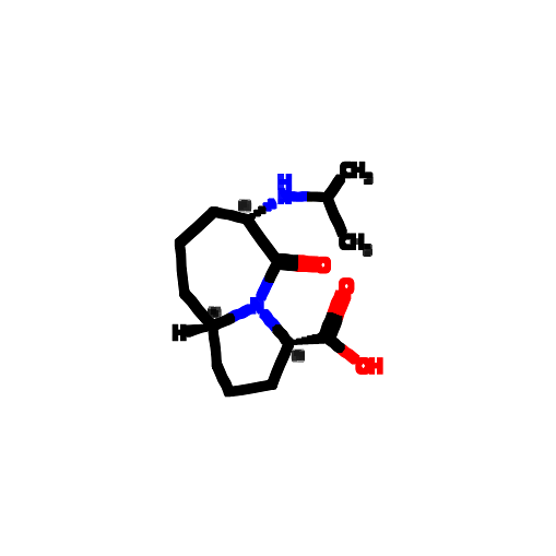 CC(C)N[C@H]1CCC[C@H]2CCC[C@@H](C(=O)O)N2C1=O